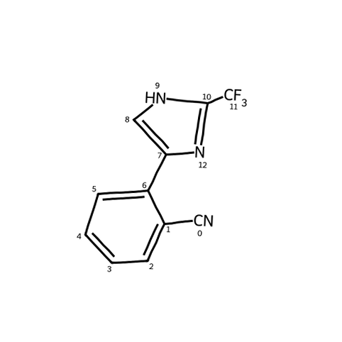 N#Cc1ccccc1-c1c[nH]c(C(F)(F)F)n1